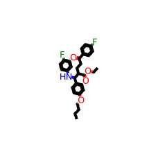 CCCCOc1ccc(C(Nc2ccc(F)cc2)C(CCC(=O)c2ccc(F)cc2)C(=O)OCC)cc1